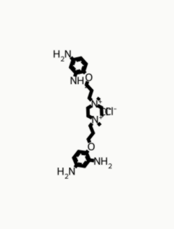 C[N+]1(CCCOc2ccc(N)cc2N)CC[N+](C)(CCCOc2ccc(N)cc2N)CC1.[Cl-].[Cl-]